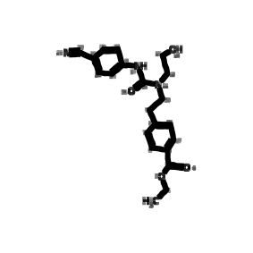 CCOC(=O)c1ccc(CCN(CCO)C(=O)Nc2ccc(C#N)cc2)cc1